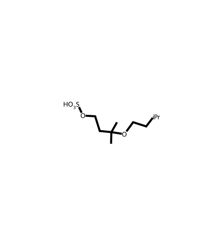 CC(C)CCOC(C)(C)CCOS(=O)(=O)O